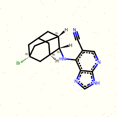 N#Cc1cnc2[nH]cnc2c1N[C@@H]1[C@@H]2CC3C[C@H]1C[C@](Br)(C3)C2